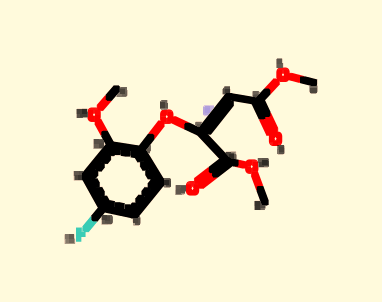 COC(=O)/C=C(/Oc1ccc(F)cc1OC)C(=O)OC